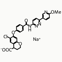 COc1ccc(-c2ccc(NC(=O)c3ccc(Oc4cc5c(cc4Cl)C(C(=O)[O-])CCO5)cc3)nn2)cn1.[Na+]